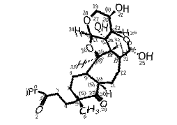 CC(C)C(=O)CC[C@]1(C)CCC2[C@H](CC[C@H]3[C@@H]4[C@@H]2O[C@@H]2OC[C@@H](O)[C@H](O[C@@H]3O)[C@]24O)C1=O